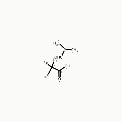 CN(C)C=O.O=C(O)C(F)(F)F